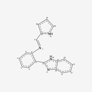 C(=Nc1ccccc1-c1nc2ccccc2[nH]1)c1ccc[nH]1